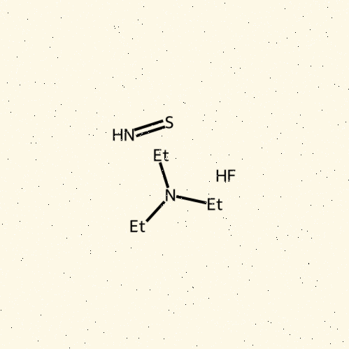 CCN(CC)CC.F.N=S